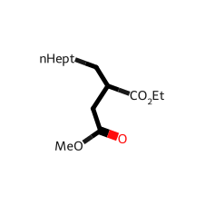 CCCCCCCCC(CC(=O)OC)C(=O)OCC